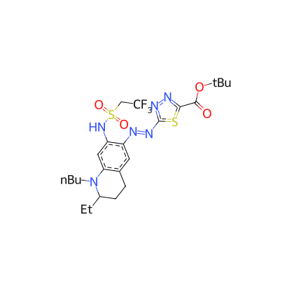 CCCCN1c2cc(NS(=O)(=O)CC(F)(F)F)c(N=Nc3nnc(C(=O)OC(C)(C)C)s3)cc2CCC1CC